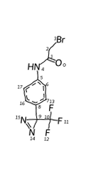 O=C(CBr)Nc1ccc(C2(C(F)(F)F)N=N2)cc1